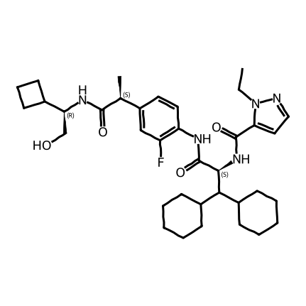 CCn1nccc1C(=O)N[C@H](C(=O)Nc1ccc([C@H](C)C(=O)N[C@@H](CO)C2CCC2)cc1F)C(C1CCCCC1)C1CCCCC1